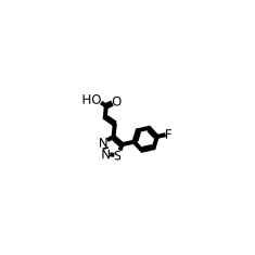 O=C(O)/C=C/c1nnsc1-c1ccc(F)cc1